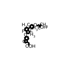 Cc1cc(OCCC(C)(C)O)cc(C)c1-c1ccc(F)c2c1CC[C@@H]2Oc1ccc2c(c1)OCC2CC(=O)O